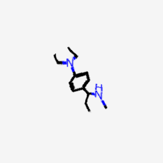 CCC(NC)c1ccc(N(CC)CC)cc1